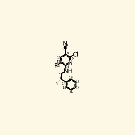 C[C@H](CNc1nc(Cl)c(C#N)cc1F)c1ccccc1